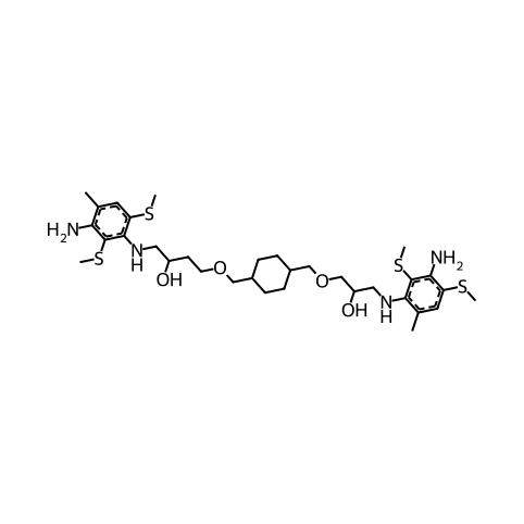 CSc1cc(C)c(NCC(O)COCC2CCC(COCCC(O)CNc3c(SC)cc(C)c(N)c3SC)CC2)c(SC)c1N